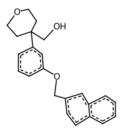 OCC1(c2cccc(OCc3ccc4ccccc4c3)c2)CCOCC1